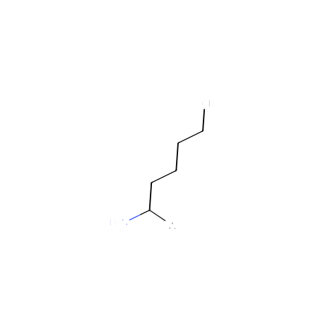 CCCCC[CH](N)[W]